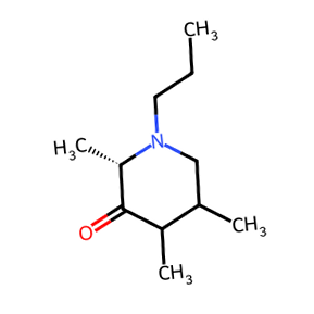 CCCN1CC(C)C(C)C(=O)[C@@H]1C